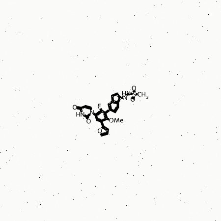 COc1c(-c2ccco2)cc(-n2ccc(=O)[nH]c2=O)c(F)c1-c1ccc2c(c1)CCC2=NNS(C)(=O)=O